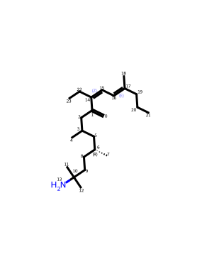 C=C(CC(C)C[C@H](C)CCC(C)(C)N)/C(=C\C=C(/C)CCC)CC